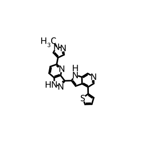 Cn1cc(-c2ccc3[nH]nc(-c4cc5c(-c6cccs6)cncc5[nH]4)c3n2)cn1